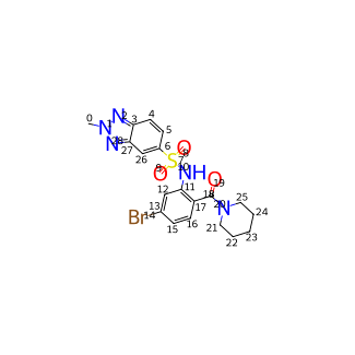 Cn1nc2ccc(S(=O)(=O)Nc3cc(Br)ccc3C(=O)N3CCCCC3)cc2n1